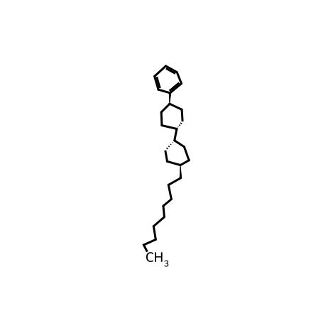 CCCCCCCCC[C@H]1CC[C@H]([C@H]2CC[C@H](c3ccccc3)CC2)CC1